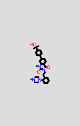 CN1CCN(c2ccccc2CCn2c(=O)c3ccc(-c4ccc(C(C)(C)O)cc4)cc3n(C)c2=O)CC1